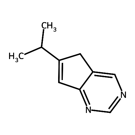 CC(C)C1=Cc2ncncc2C1